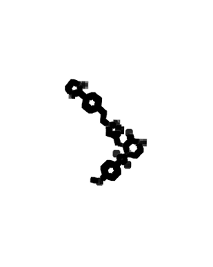 COc1ccc(S(=O)(=O)N2CCNC(=O)[C@H]2Cc2cn(CCc3ccc(C4=NCCN4)cc3)nn2)cc1